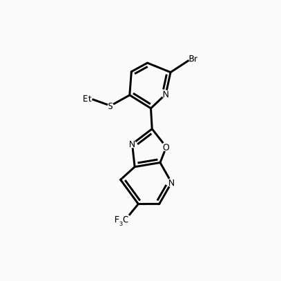 CCSc1ccc(Br)nc1-c1nc2cc(C(F)(F)F)cnc2o1